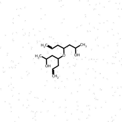 C=CCC(CC(C)O)OC(CC=C)CC(C)O